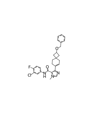 Cn1cnc(C2=CCC3(CC2)CC(OCc2ccccc2)C3)c1C(=O)Nc1ccc(F)c(Cl)c1